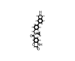 O=C1COc2cc(C(=O)N(Cc3ccc(-c4ccc5c(c4)CNC5)cc3)C3CC3)ccc2N1